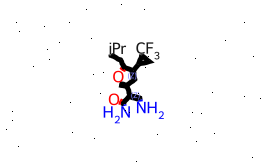 C=C(/C=C(\C(=O)CCC(C)C)C1CC1C(F)(F)F)/C(=C/N)C(N)=O